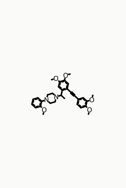 COc1ccc(C#Cc2cc(OC)c(OC)cc2C(C)N2CCN(c3ccccc3OC)CC2)cc1OC